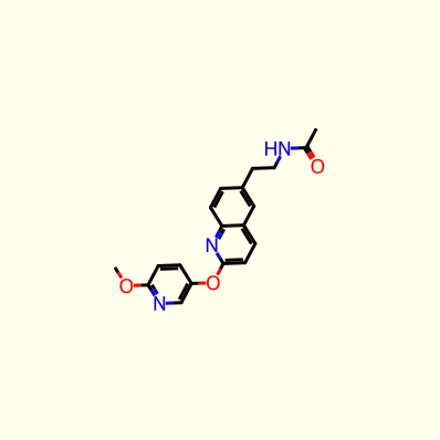 COc1ccc(Oc2ccc3cc(CCNC(C)=O)ccc3n2)cn1